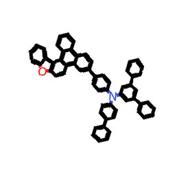 c1ccc(-c2ccc(N(c3ccc(-c4ccc5c6ccccc6c6c(ccc7oc8ccccc8c76)c5c4)cc3)c3cc(-c4ccccc4)cc(-c4ccccc4)c3)cc2)cc1